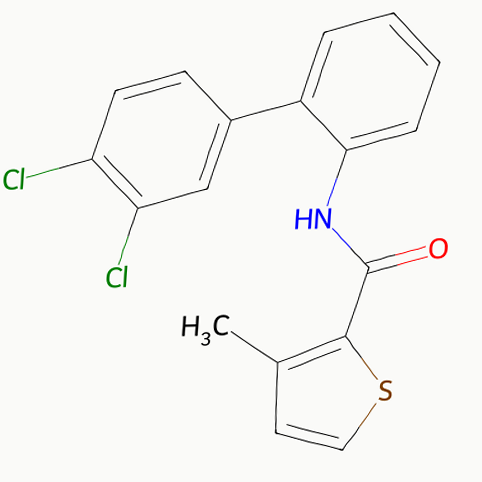 Cc1ccsc1C(=O)Nc1ccccc1-c1ccc(Cl)c(Cl)c1